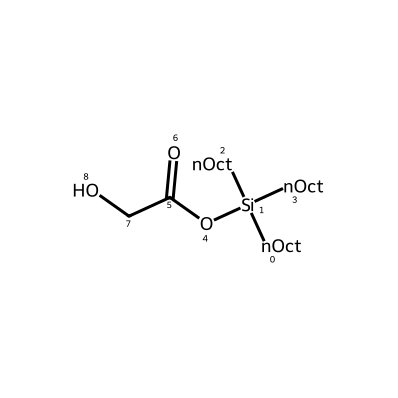 CCCCCCCC[Si](CCCCCCCC)(CCCCCCCC)OC(=O)CO